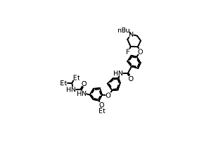 CCCCN1CCC(Oc2ccc(C(=O)Nc3ccc(Oc4ccc(NC(=O)NC(CC)CC)cc4OCC)cc3)cc2)C(F)C1